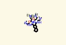 CCN(CC)CCC(=O)N1C(NCCN(C)C)=c2cc3ccccc3cc2=C(NCCN(C)C)N1C(=O)CCN(CC)CC